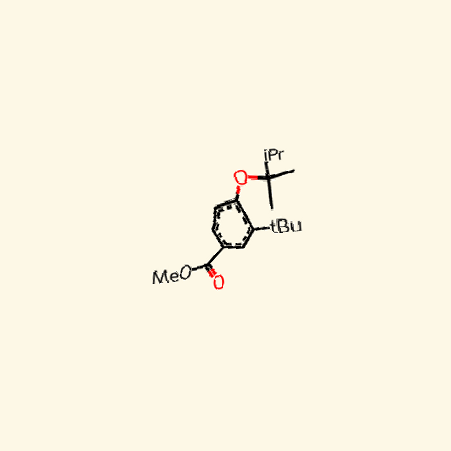 COC(=O)c1ccc(OC(C)(C)C(C)C)c(C(C)(C)C)c1